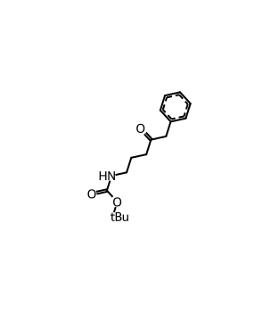 CC(C)(C)OC(=O)NCCCC(=O)Cc1ccccc1